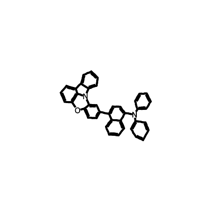 c1ccc(N(c2ccccc2)c2ccc(-c3ccc4c(c3)-n3c5ccccc5c5cccc(c53)O4)c3ccccc23)cc1